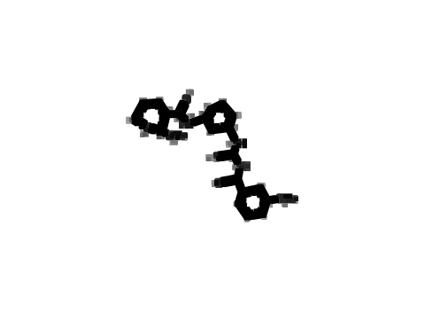 COc1cccc(C(=O)NC(=S)Nc2cccc(NC(=O)c3ccccc3OC)c2)c1